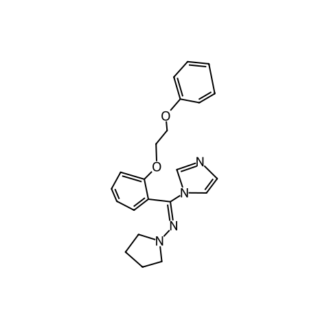 c1ccc(OCCOc2ccccc2/C(=N\N2CCCC2)n2ccnc2)cc1